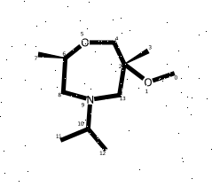 CO[C@@]1(C)CO[C@H](C)CN(C(C)C)C1